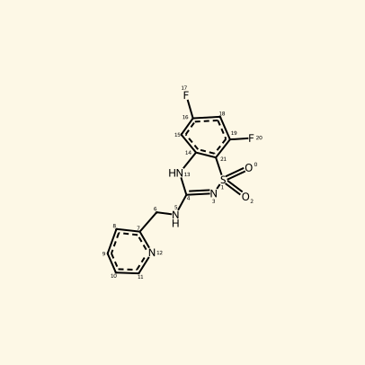 O=S1(=O)N=C(NCc2ccccn2)Nc2cc(F)cc(F)c21